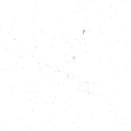 CC(C)[C@H]1CC[C@@H](OC[C@H]2[C@@H](N[SH](C)(C)=O)CCCN2C(=O)C2CN(S(C)(=O)=O)C2)CC1